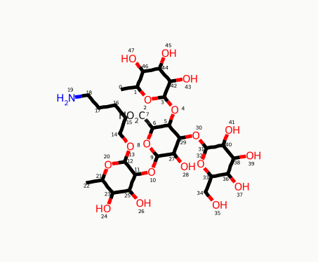 CC1OC(OC2C(C(=O)O)OC(OC3C(OCCCCCN)OC(C)C(O)C3O)C(O)C2OC2OC(CO)C(O)C(O)C2O)C(O)C(O)C1O